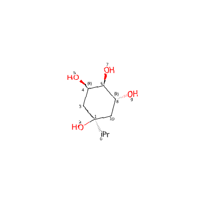 CC(C)[C@]1(O)C[C@@H](O)[C@@H](O)[C@H](O)C1